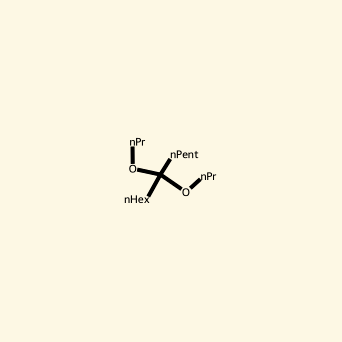 CCCCCCC(CCCCC)(OCCC)OCCC